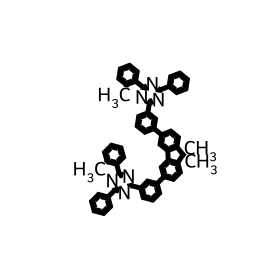 Cc1ccccc1-c1nc(-c2ccccc2)nc(-c2cccc(-c3ccc4c(c3)-c3cc(-c5cccc(-c6nc(-c7ccccc7)nc(-c7ccccc7C)n6)c5)ccc3C4(C)C)c2)n1